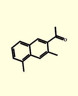 CC(=O)c1cc2cccc(C)c2cc1C